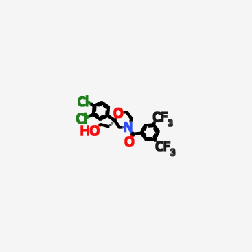 O=C(c1cc(C(F)(F)F)cc(C(F)(F)F)c1)N1CCO[C@](CCO)(c2ccc(Cl)c(Cl)c2)C1